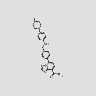 CN1CCN(c2ccc(NCc3ccc(-c4ccc(C(N)=O)c5n[c]nn45)cc3)cn2)CC1